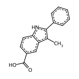 Cc1c(-c2ccccc2)[nH]c2ccc(C(=O)O)cc12